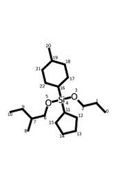 CCCO[Si](OCC(C)CC)(C1CCCC1)C1CCC(C)CC1